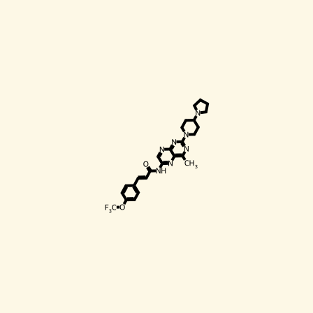 Cc1nc(N2CCC(N3CCCC3)CC2)nc2ncc(NC(=O)/C=C/c3ccc(OC(F)(F)F)cc3)nc12